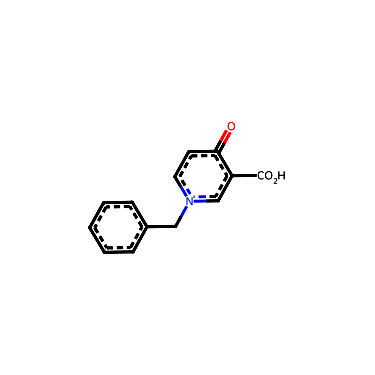 O=C(O)c1cn(Cc2ccccc2)ccc1=O